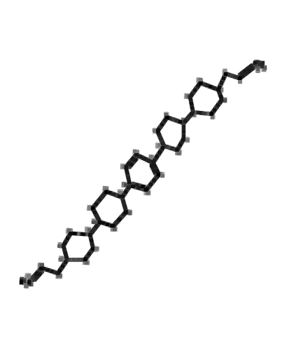 C=CCC1CCC(C2CCC(c3ccc(C4CCC(C5CCC(CC=C)CC5)CC4)cc3)CC2)CC1